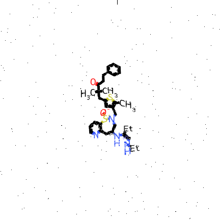 CCN/C=C(/CC)N[C@H]1Cc2ncccc2[S+]([O-])N(Cc2cc(CC(C)(C)C(=O)CCc3ccccc3)sc2C)C1